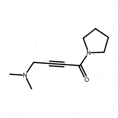 CN(C)CC#CC(=O)N1CCCC1